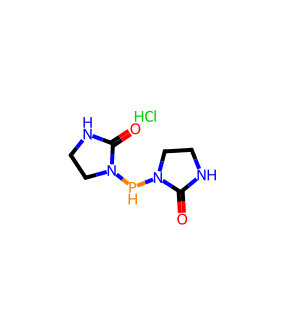 Cl.O=C1NCCN1PN1CCNC1=O